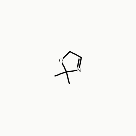 CC1(C)N=CCO1